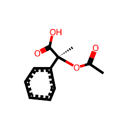 CC(=O)O[C@](C)(C(=O)O)c1ccccc1